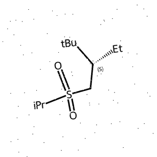 CC[C@H](CS(=O)(=O)C(C)C)C(C)(C)C